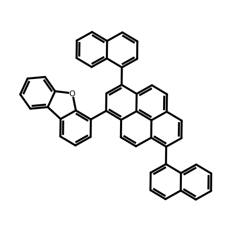 c1ccc2c(-c3ccc4ccc5c(-c6cccc7ccccc67)cc(-c6cccc7c6oc6ccccc67)c6ccc3c4c56)cccc2c1